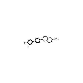 CC1CCC2CC(c3ccc(-c4ccc(F)c(F)c4)cc3)CCC2C1